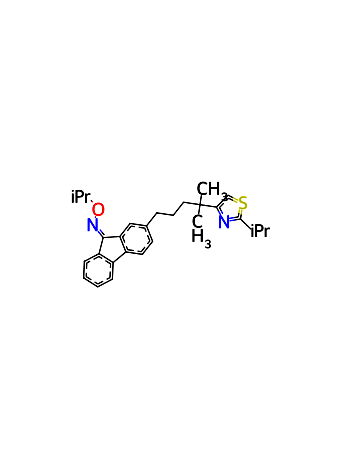 CC(C)O/N=C1/c2ccccc2-c2ccc(CCCC(C)(C)c3csc(C(C)C)n3)cc21